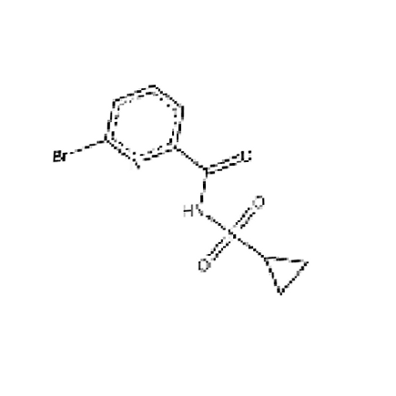 O=C(NS(=O)(=O)C1CC1)c1cccc(Br)n1